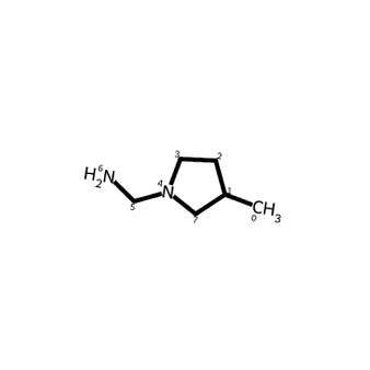 CC1CCN(CN)C1